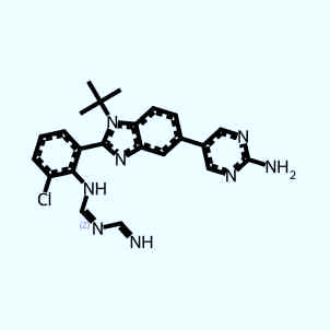 CC(C)(C)n1c(-c2cccc(Cl)c2N/C=N\C=N)nc2cc(-c3cnc(N)nc3)ccc21